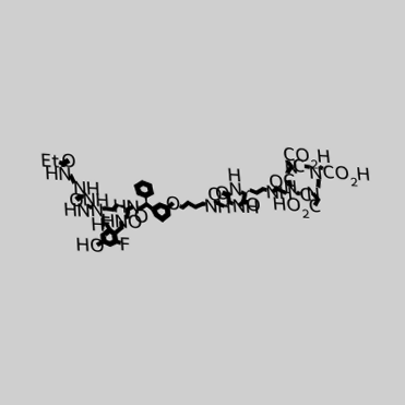 CCC(=O)NCCNC(=O)NC(=N)NCCC[C@@H](NC(=O)[C@@H](c1ccccc1)c1cccc(OCCCCNC(=O)C[C@H]2NC(=O)[C@@H](CCCNC(=O)CN3CCN(CC(=O)O)CCN(CC(=O)O)CCN(CC(=O)O)CC3)NC2=O)c1)C(=O)NCc1c(F)cc(O)cc1F